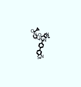 Cn1ncc2c(=O)n(C[C@@H]3CCN(C(=O)C4CC4)C3)c(-c3ccc(-c4ccc5scnc5c4)cc3)nc21